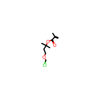 C=C(C)C(=O)OC(C)(C)CCOCCl